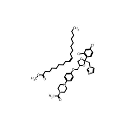 CC(=O)N1CCN(c2ccc(OC[C@H]3CO[C@](Cn4ccnc4)(c4ccc(Cl)cc4Cl)O3)cc2)CC1.CCCCCCCC/C=C\CCCCCCCC(=O)OC